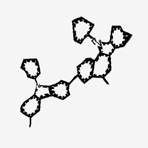 Cc1ccc2c(c1)c1ccc(-c3ccc4c(c3)c(C)cc3c5ccccc5n(-c5ccccc5)c43)cc1n2-c1ccccc1